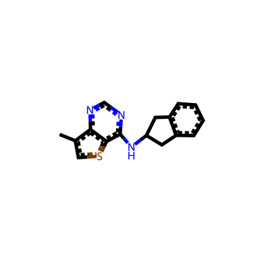 Cc1csc2c(NC3Cc4ccccc4C3)ncnc12